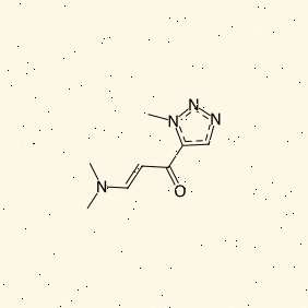 CN(C)/C=C/C(=O)c1cnnn1C